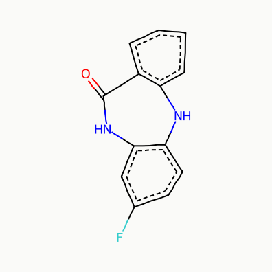 O=C1Nc2cc(F)ccc2Nc2ccccc21